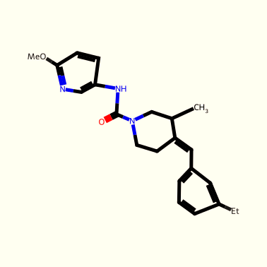 CCc1cccc(/C=C2\CCN(C(=O)Nc3ccc(OC)nc3)CC2C)c1